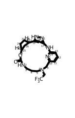 O=C1NCCCN(CC(F)(F)F)Cc2cccc(n2)Nc2cc([nH]n2)[C@@H]2CC[C@@H](C2)O1